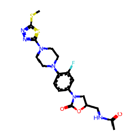 CSc1nnc(N2CCN(c3ccc(N4CC(CNC(C)=O)OC4=O)cc3F)CC2)s1